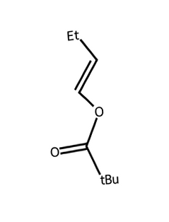 CCC=COC(=O)C(C)(C)C